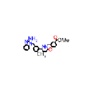 COC(=O)c1cccc(Cn2nc(-c3cc(Cn4c(N)nc5ccccc54)ccc3C)ccc2=O)c1